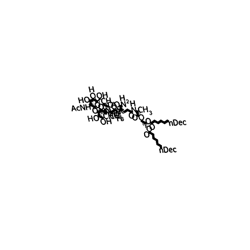 CCCCCCCCCCCCCCCC(=O)OC[C@H](COC(=O)[C@H](C)NC(=O)CC[C@@H](NC(=O)[C@H](C)NC(=O)[C@@H](C)O[C@@H]([C@H](O[C@@H]1O[C@H](CO)[C@@H](O)[C@H](O)[C@H]1NC(C)=O)[C@H](O)CO)[C@H](C=O)NC(C)=O)C(N)=O)OC(=O)CCCCCCCCCCCCCCC